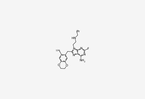 CC(C)CNCCn1c(Cc2cc3c(cc2[124I])OCCO3)nc2c(N)nc(F)nc21